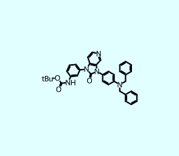 CC(C)(C)OC(=O)Nc1cccc(-n2c(=O)n(-c3ccc(N(Cc4ccccc4)Cc4ccccc4)cc3)c3cnccc32)c1